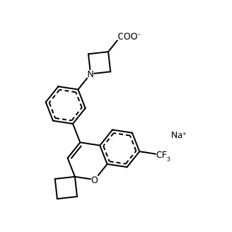 O=C([O-])C1CN(c2cccc(C3=CC4(CCC4)Oc4cc(C(F)(F)F)ccc43)c2)C1.[Na+]